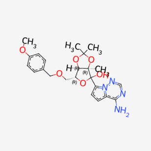 COc1ccc(COC[C@H]2OC(O)(c3ccc4c(N)ncnn34)[C@]3(C)OC(C)(C)O[C@H]23)cc1